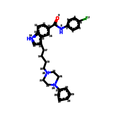 O=C(Nc1ccc(F)cc1)c1ccc2[nH]cc(CCCCN3CCN(c4ccccc4)CC3)c2c1